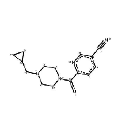 N#Cc1ccc(C(=O)N2CCN(CC3CC3)CC2)nc1